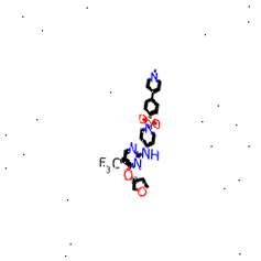 CN1CC=C(c2ccc(S(=O)(=O)N3CCC(Nc4ncc(C(F)(F)F)c(O[C@H]5CCOC5)n4)CC3)cc2)CC1